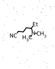 CCC(CCCC#N)N(C)C